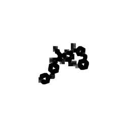 N#Cc1c(Nc2ccc(Oc3ccncc3)cc2)nn2c(N)nc(NC3CCN(Cc4ccccc4)C3)nc12